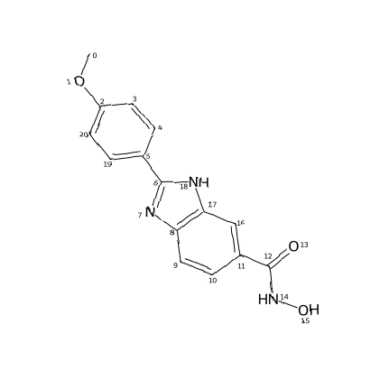 COc1ccc(-c2nc3ccc(C(=O)NO)cc3[nH]2)cc1